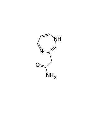 NC(=O)CC1=CNC=CC=N1